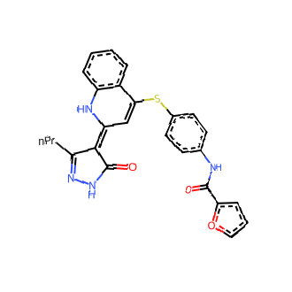 CCCC1=NNC(=O)C1=C1C=C(Sc2ccc(NC(=O)c3ccco3)cc2)c2ccccc2N1